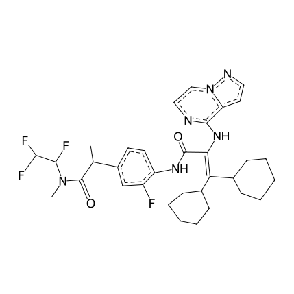 CC(C(=O)N(C)C(F)C(F)F)c1ccc(NC(=O)C(Nc2nccn3nccc23)=C(C2CCCCC2)C2CCCCC2)c(F)c1